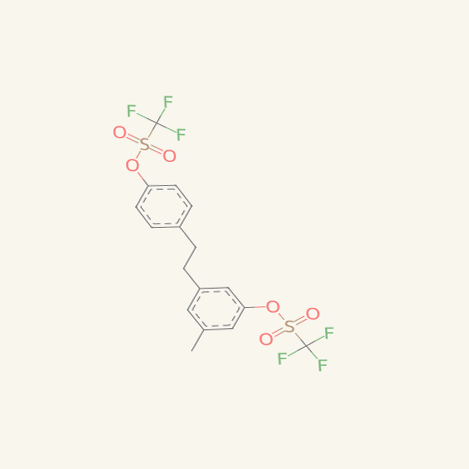 Cc1cc(CCc2ccc(OS(=O)(=O)C(F)(F)F)cc2)cc(OS(=O)(=O)C(F)(F)F)c1